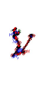 Cc1ccccc1Cc1nc(-c2cccc(C(F)F)n2)c(-c2ccc3ncc(OCCNC(=O)OCc4ccc(NC(=O)[C@H](CCCNC(N)=O)NC(=O)[C@@H](NC(=O)[C@H](CCC(=O)O)NC(=O)CCOCCOCCOCCOCCN5C(=O)C=CC5=O)C(C)C)cc4)nc3c2)[nH]1